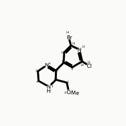 COCC1NCCN=C1c1cc(Cl)nc(Br)c1